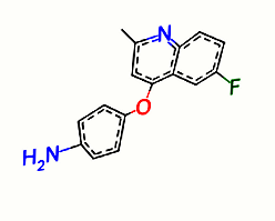 Cc1cc(Oc2ccc(N)cc2)c2cc(F)ccc2n1